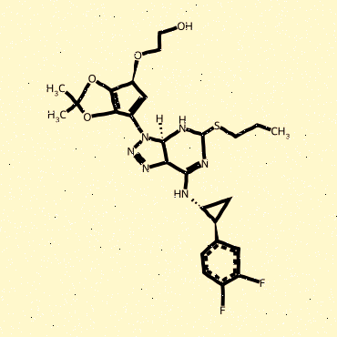 CCCSC1N=C(N[C@@H]2C[C@H]2c2ccc(F)c(F)c2)C2N=NN(C3=C[C@H](OCCO)C4=C3OC(C)(C)O4)[C@H]2N1